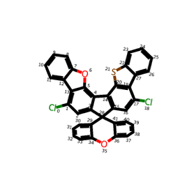 Clc1cc2c(c3oc4ccccc4c13)-c1c(cc(Cl)c3c1sc1ccccc13)C21c2ccccc2Oc2ccccc21